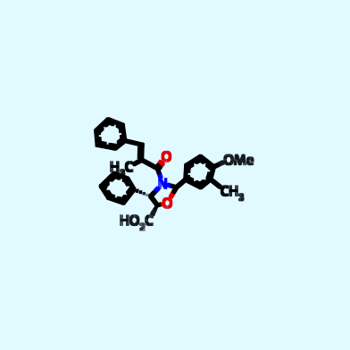 COc1ccc(C2O[C@@H](C(=O)O)[C@H](c3ccccc3)N2C(=O)/C(C)=C/c2ccccc2)cc1C